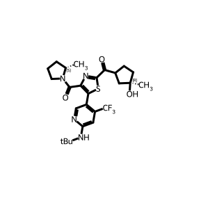 C[C@H]1CCCN1C(=O)c1nc(C(=O)C2CC[C@@](C)(O)C2)sc1-c1cnc(NC(C)(C)C)cc1C(F)(F)F